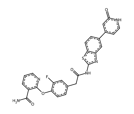 NC(=O)c1cccnc1Oc1ccc(CC(=O)Nc2nc3cc(-c4cc[nH]c(=O)c4)ccc3s2)cc1F